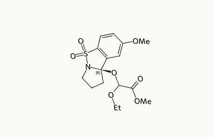 CCOC(O[C@@]12CCCN1S(=O)(=O)c1ccc(OC)cc12)C(=O)OC